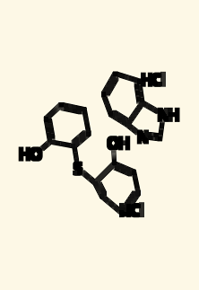 Cl.Cl.Oc1ccccc1Sc1ccccc1O.c1ccc2[nH]cnc2c1